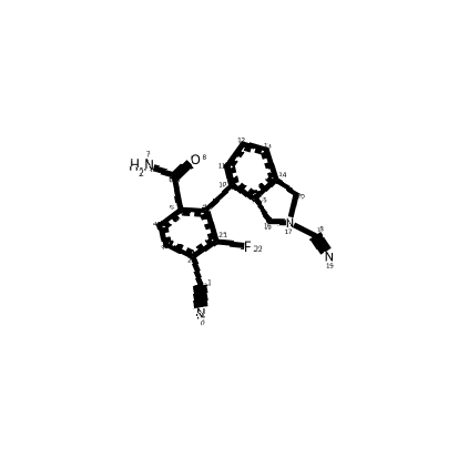 N#Cc1ccc(C(N)=O)c(-c2cccc3c2CN(C#N)C3)c1F